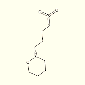 O=S(=O)=CCCC[SiH]1CCCCO1